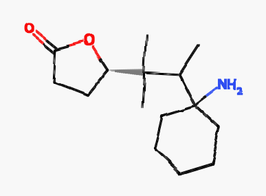 CC(C1(N)CCCCC1)C(C)(C)[C@@H]1CCC(=O)O1